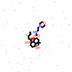 C=C[C@@H](C)CC(=O)[C@@]1(O)[C@@H](C)C[C@@H](O)[C@H]2C(C)(C)CC[C@@](O)(OC(=O)NCCN3CCOCC3)[C@@]21C